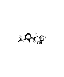 CC(=O)Oc1cccc(C(=O)N[C@H]2COC[C@@H]2O)c1C